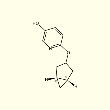 Oc1ccc(OC2C[C@@H]3C[C@@H]3C2)nc1